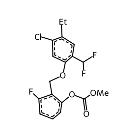 CCc1cc(C(F)F)c(OCc2c(F)cccc2OC(=O)OC)cc1Cl